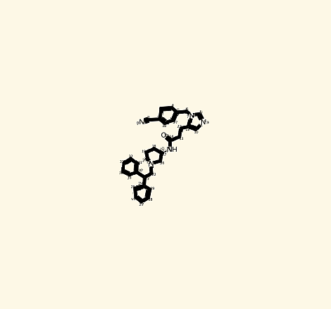 N#Cc1ccc(Cn2cncc2CCC(=O)N[C@H]2CCCN(CC(c3ccccc3)c3ccccc3)C2)cc1